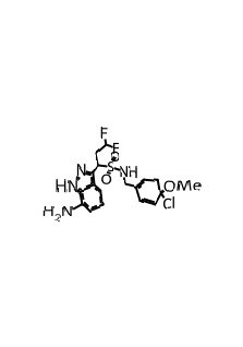 COC1(Cl)C=CC(CNS(=O)(=O)C(CC(F)F)c2n[nH]c3c(N)cccc23)=CC1